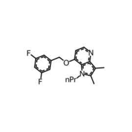 CCCn1c(C)c(C)c2nccc(OCc3cc(F)cc(F)c3)c21